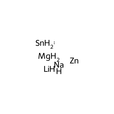 [LiH].[MgH2].[NaH].[SnH2].[Zn]